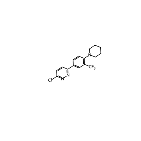 FC(F)(F)c1cc(-c2ccc(Cl)nn2)ccc1N1CCCCC1